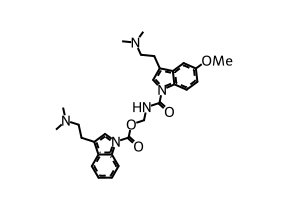 COc1ccc2c(c1)c(CCN(C)C)cn2C(=O)NCOC(=O)n1cc(CCN(C)C)c2ccccc21